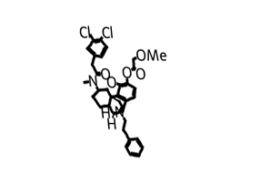 COCC(=O)Oc1ccc2c3c1OC1C(N(C)C(=O)Cc4ccc(Cl)c(Cl)c4)CC[C@H]4[C@@H](C2)N(CCc2ccccc2)CC[C@]314